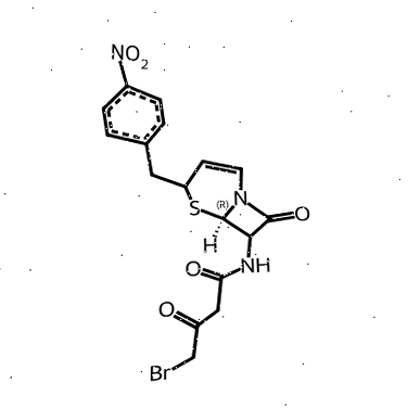 O=C(CBr)CC(=O)NC1C(=O)N2C=CC(Cc3ccc([N+](=O)[O-])cc3)S[C@H]12